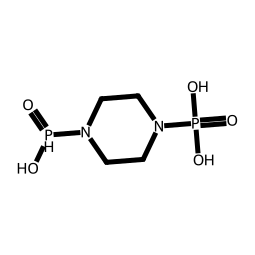 O=[PH](O)N1CCN(P(=O)(O)O)CC1